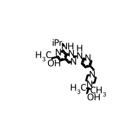 CC(C)Nc1nc([C@@H](C)O)cc2cnc(Nc3ccc(CN4CCN(C(C)(C)CO)CC4)cn3)nc12